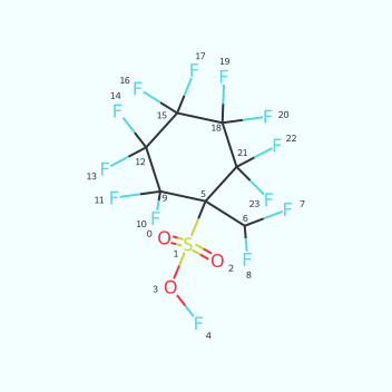 O=S(=O)(OF)C1(C(F)F)C(F)(F)C(F)(F)C(F)(F)C(F)(F)C1(F)F